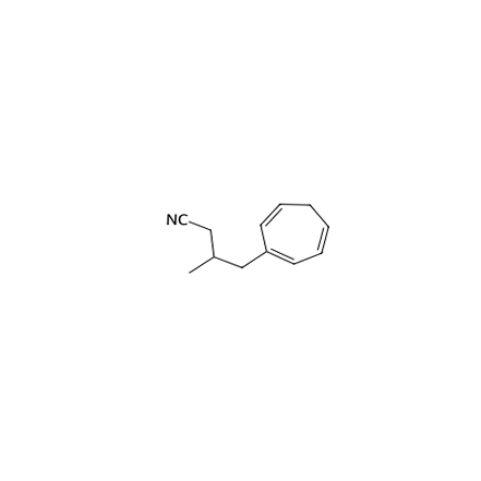 CC(CC#N)CC1=CC=CCC=C1